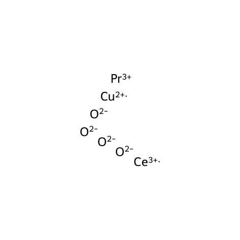 [Ce+3].[Cu+2].[O-2].[O-2].[O-2].[O-2].[Pr+3]